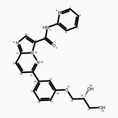 O=C(Nc1ccccn1)c1cnc2ccc(-c3cccc(OC[C@H](O)CO)c3)nn12